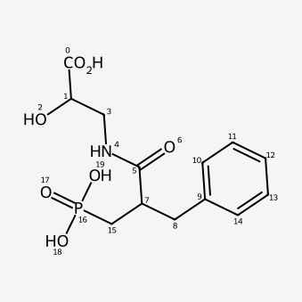 O=C(O)C(O)CNC(=O)C(Cc1ccccc1)CP(=O)(O)O